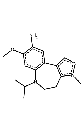 COc1nc2c(cc1N)-c1cnn(C)c1CCN2C(C)C